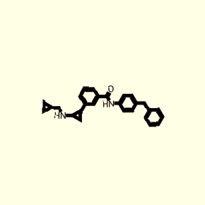 O=C(Nc1ccc(Cc2ccccc2)cc1)c1cccc(C2CC2NCC2CC2)c1